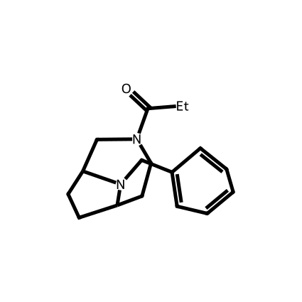 CCC(=O)N1CCC2CCC(C1)N2Cc1ccccc1